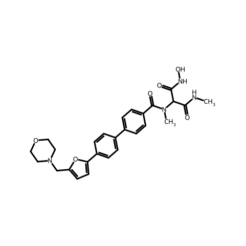 CNC(=O)C(C(=O)NO)N(C)C(=O)c1ccc(-c2ccc(-c3ccc(CN4CCOCC4)o3)cc2)cc1